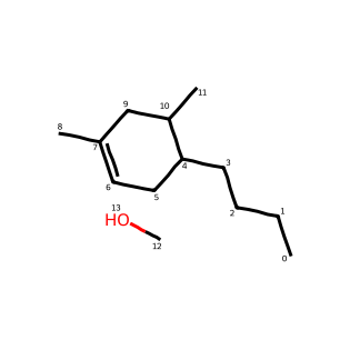 CCCCC1CC=C(C)CC1C.CO